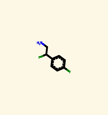 NCC(F)c1ccc(F)cc1